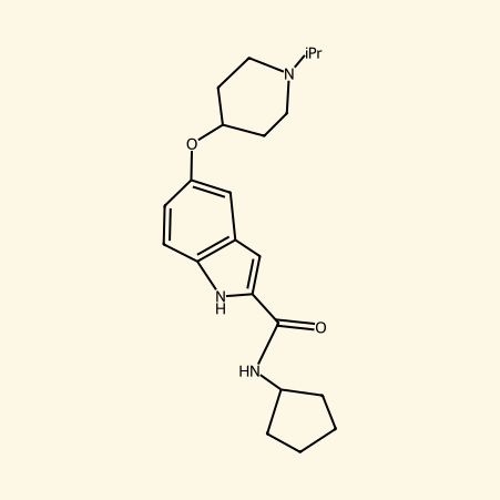 CC(C)N1CCC(Oc2ccc3[nH]c(C(=O)NC4CCCC4)cc3c2)CC1